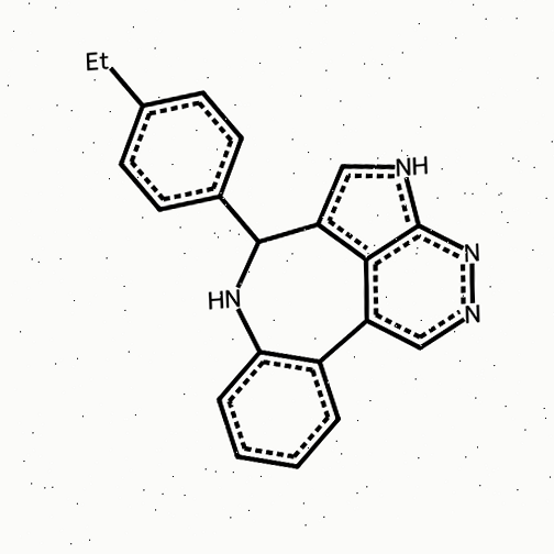 CCc1ccc(C2Nc3ccccc3-c3cnnc4[nH]cc2c34)cc1